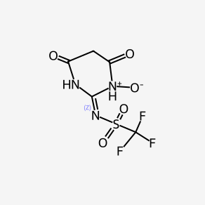 O=C1CC(=O)[NH+]([O-])/C(=N\S(=O)(=O)C(F)(F)F)N1